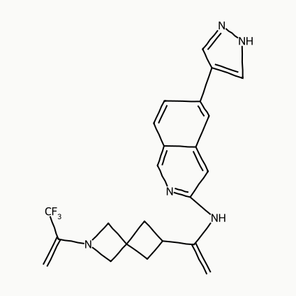 C=C(Nc1cc2cc(-c3cn[nH]c3)ccc2cn1)C1CC2(C1)CN(C(=C)C(F)(F)F)C2